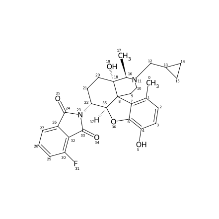 Cc1ccc(O)c2c1C13CCN(CC4CC4)[C@H](C)[C@]1(O)CC[C@@H](N1C(=O)c4cccc(F)c4C1=O)[C@@H]3O2